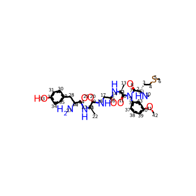 CN[C@@H](CCSC)C(=O)N(C(=O)[C@H](C)NC(=O)CNC(=O)[C@@H](C)NC(=O)[C@@H](N)Cc1ccc(O)cc1)c1cccc(OC)c1